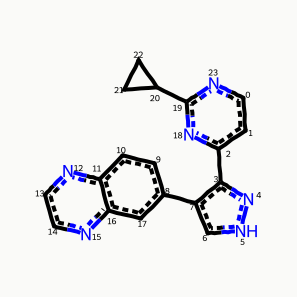 c1cc(-c2n[nH]cc2-c2ccc3nccnc3c2)nc(C2CC2)n1